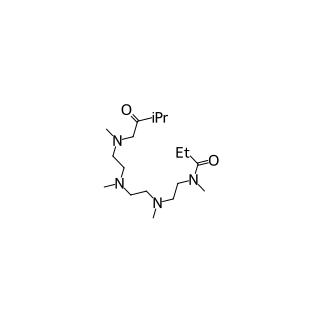 CCC(=O)N(C)CCN(C)CCN(C)CCN(C)CC(=O)C(C)C